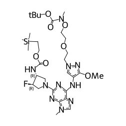 COc1nn(CCOCCON(C)C(=O)OC(C)(C)C)cc1Nc1nc(N2C[C@@H](F)[C@H](NC(=O)OCC[Si](C)(C)C)C2)nc2c1ncn2C